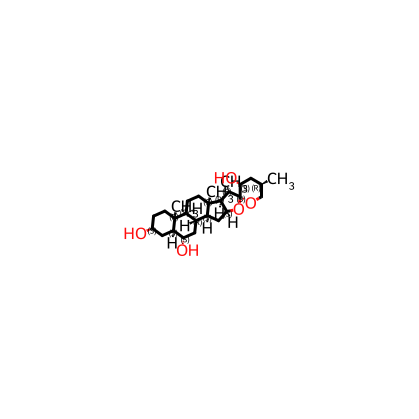 C[C@H]1CO[C@@]2(O[C@H]3C[C@H]4[C@@H]5C[C@H](O)[C@H]6C[C@@H](O)CC[C@]6(C)[C@H]5CC[C@]4(C)[C@H]3[C@@H]2C)[C@@H](O)C1